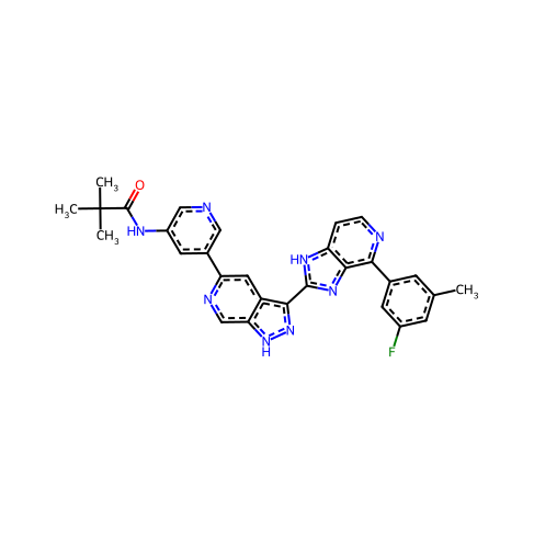 Cc1cc(F)cc(-c2nccc3[nH]c(-c4n[nH]c5cnc(-c6cncc(NC(=O)C(C)(C)C)c6)cc45)nc23)c1